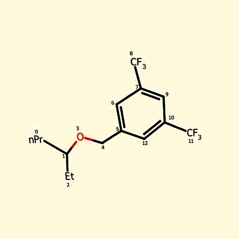 CCCC(CC)OCc1cc(C(F)(F)F)cc(C(F)(F)F)c1